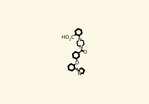 O=C(O)c1ccccc1N1CCN(C(=O)c2cccc(Oc3ccccc3-n3cccn3)c2)CC1